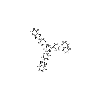 c1ccc2c(-c3ccc(-c4nc(-c5ccc(-c6nc7ccccc7o6)cc5)cc(-c5ccc(-c6nc7ccccc7o6)cc5)n4)cc3)cccc2c1